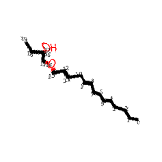 CCCCCCCCCCCCCCOCC(O)CC